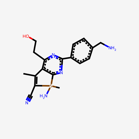 CC1=C(C#N)S(C)(N)c2nc(-c3ccc(CN)cc3)nc(CCO)c21